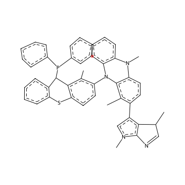 Cc1c(N2c3ccccc3N(C)c3ccc(-c4cn(C)c5c4C(C)C=N5)c(C)c32)ccc2c1C(P(c1ccccc1)c1ccccc1)c1ccccc1S2